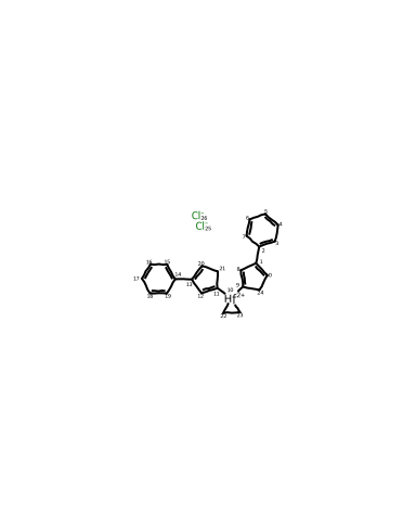 C1=C(c2ccccc2)C=[C]([Hf+2]2([C]3=CC(c4ccccc4)=CC3)[CH2][CH2]2)C1.[Cl-].[Cl-]